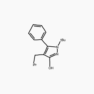 CC(C)Cc1c(O)nn(C(C)(C)C)c1-c1ccccc1